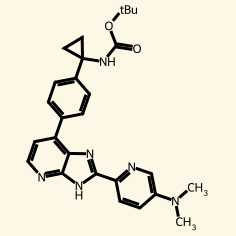 CN(C)c1ccc(-c2nc3c(-c4ccc(C5(NC(=O)OC(C)(C)C)CC5)cc4)ccnc3[nH]2)nc1